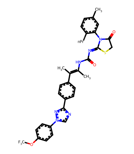 CCCc1ccc(C)cc1N1C(=O)CS/C1=N\C(=O)N/C(C)=C(\C)c1ccc(-c2ncn(-c3ccc(OC(F)(F)F)cc3)n2)cc1